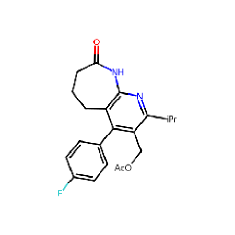 CC(=O)OCc1c(C(C)C)nc2c(c1-c1ccc(F)cc1)CCCC(=O)N2